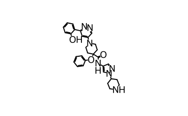 O=C(Nc1cnn(C2CCNCC2)c1)C1(Oc2ccccc2)CCN(c2cnnc(-c3ccccc3O)c2)CC1